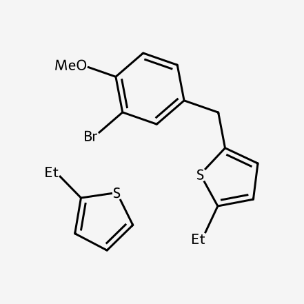 CCc1ccc(Cc2ccc(OC)c(Br)c2)s1.CCc1cccs1